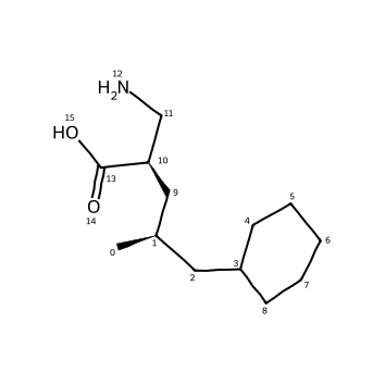 C[C@H](CC1CCCCC1)C[C@H](CN)C(=O)O